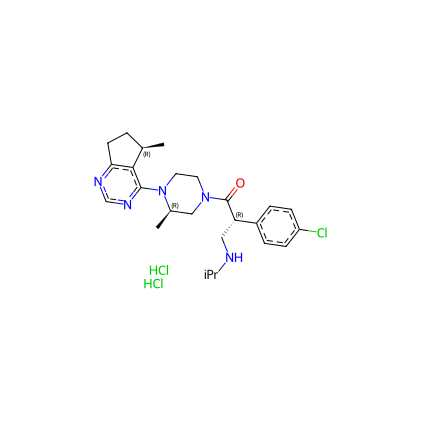 CC(C)NC[C@H](C(=O)N1CCN(c2ncnc3c2[C@H](C)CC3)[C@H](C)C1)c1ccc(Cl)cc1.Cl.Cl